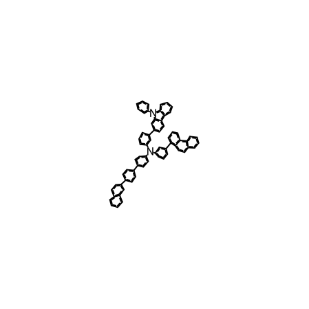 c1ccc(-n2c3ccccc3c3ccc(-c4cccc(N(c5ccc(-c6ccc(-c7ccc8ccccc8c7)cc6)cc5)c5cccc(-c6cccc7c6ccc6ccccc67)c5)c4)cc32)cc1